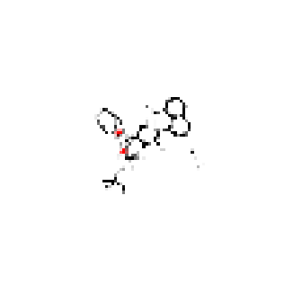 CCc1cccc2cc(OCOC)cc(-c3ncc4c(N5CC6CCC(C5)N6C(=O)OC(C)(C)C)nc(OCC5(C=O)CC5)nc4c3F)c12